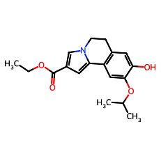 CCOC(=O)c1cc2n(c1)CCc1cc(O)c(OC(C)C)cc1-2